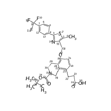 Cc1sc(-c2ccc(C(F)(F)F)cc2)nc1COc1ccc(CCC(=O)O)c2c1CCN(C(=O)OC(C)(C)C)C2